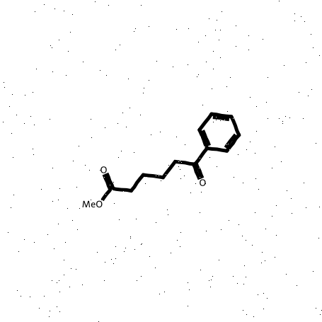 COC(=O)CCCCC(=O)c1ccccc1